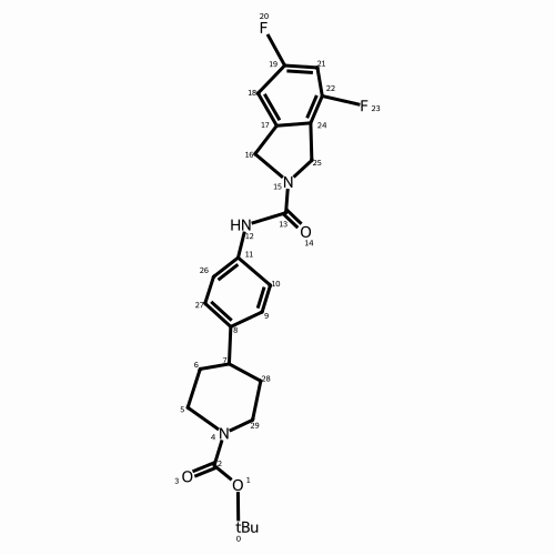 CC(C)(C)OC(=O)N1CCC(c2ccc(NC(=O)N3Cc4cc(F)cc(F)c4C3)cc2)CC1